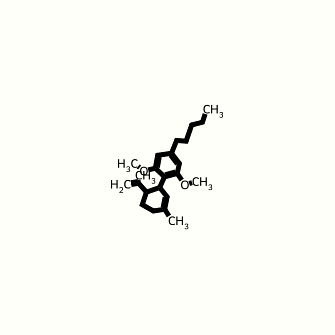 C=C(C)C1CCC(C)=CC1c1c(OC)cc(CCCCC)cc1OC